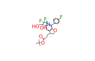 CC(C)(C)OC(=O)CC[C@]1(C)COc2c1cc([C@@](O)(CO)C(F)(F)F)nc2-c1ccc(F)cc1